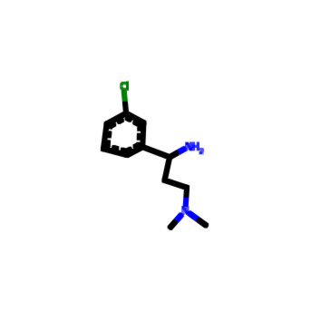 CN(C)CCC(N)c1cccc(Cl)c1